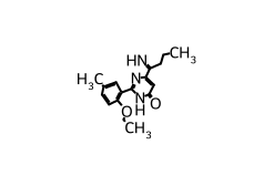 CCCC(=N)c1cc(=O)[nH]c(-c2cc(C)ccc2OCC)n1